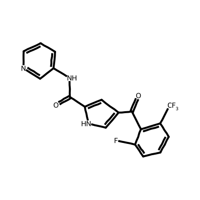 O=C(Nc1cccnc1)c1cc(C(=O)c2c(F)cccc2C(F)(F)F)c[nH]1